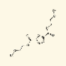 CCOCCOC(=O)c1ccc(C(=O)OCCOCC)o1